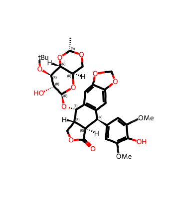 COc1cc([C@@H]2c3cc4c(cc3[C@@H](O[C@@H]3O[C@@H]5CO[C@@H](C)O[C@H]5[C@H](OC(C)(C)C)[C@H]3O)[C@H]3COC(=O)[C@H]23)OCO4)cc(OC)c1O